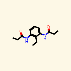 CCC(=O)Nc1cccc(NC(=O)CC)c1CC